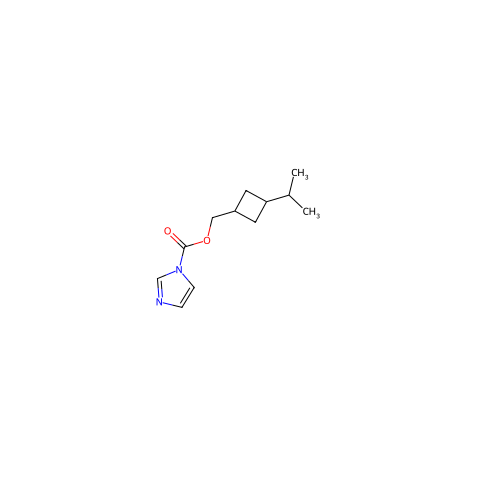 CC(C)C1CC(COC(=O)n2ccnc2)C1